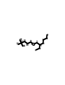 CCCCC(CC)COCCCC(C)(C)C